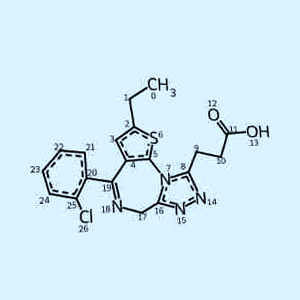 CCc1cc2c(s1)-n1c(CCC(=O)O)nnc1CN=C2c1ccccc1Cl